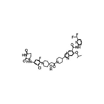 CC(C)Oc1cc2nc(C3CCN(C(=O)CC4(O)CCN(c5c(F)cc(N[C@H]6CCC(=O)NC6=O)cc5Cl)CC4)CC3)cn2cc1C(=O)Nc1cccc(C(F)F)n1